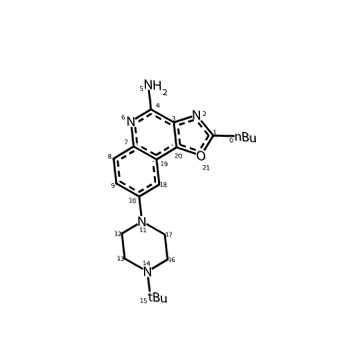 CCCCc1nc2c(N)nc3ccc(N4CCN(C(C)(C)C)CC4)cc3c2o1